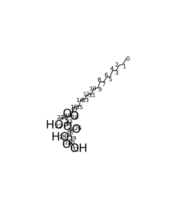 CCCCCCCCCCCCCCCCCC(=O)OC(CO)COC(=O)C(O)CC(=O)O